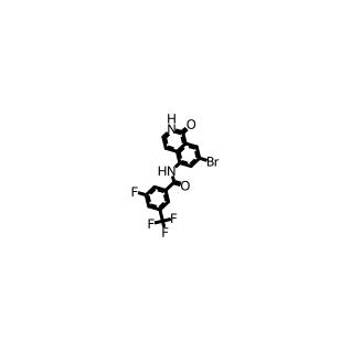 O=C(Nc1cc(Br)cc2c(=O)[nH]ccc12)c1cc(F)cc(C(F)(F)F)c1